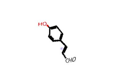 O=C/C=C/c1ccc(O)cc1